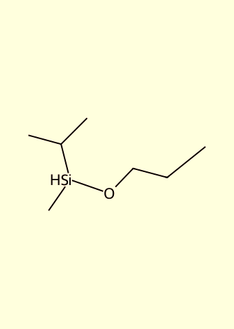 CCCO[SiH](C)C(C)C